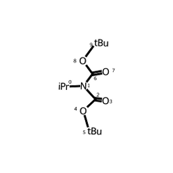 CC(C)N(C(=O)OC(C)(C)C)C(=O)OC(C)(C)C